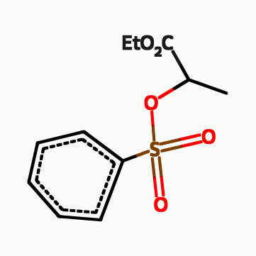 CCOC(=O)C(C)OS(=O)(=O)c1ccccc1